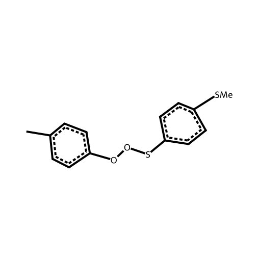 CSc1ccc(SOOc2ccc(C)cc2)cc1